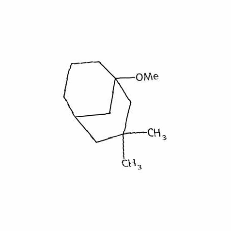 COC12CCCC(CC(C)(C)C1)C2